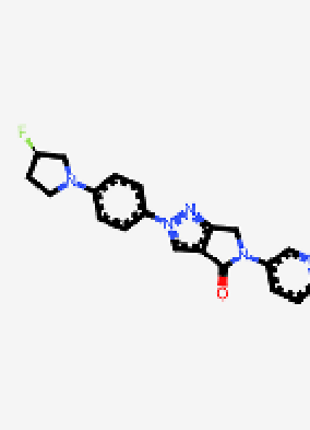 O=C1c2cn(-c3ccc(N4CC[C@@H](F)C4)cc3)nc2CN1c1cccnc1